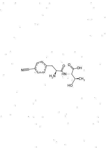 C[C@@H](O)[C@H](NC(=O)[C@@H](N)Cc1ccc(C#N)cc1)C(=O)O